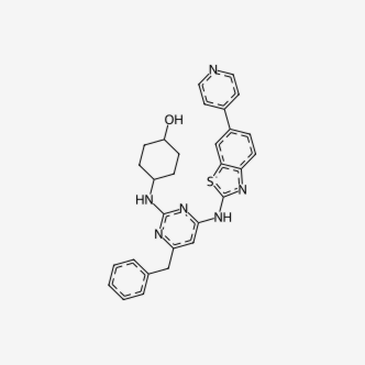 OC1CCC(Nc2nc(Cc3ccccc3)cc(Nc3nc4ccc(-c5ccncc5)cc4s3)n2)CC1